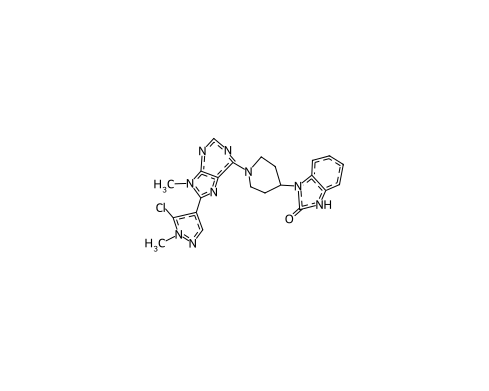 Cn1ncc(-c2nc3c(N4CCC(n5c(=O)[nH]c6ccccc65)CC4)ncnc3n2C)c1Cl